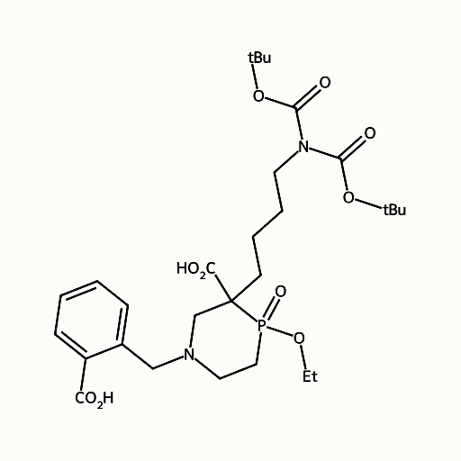 CCOP1(=O)CCN(Cc2ccccc2C(=O)O)CC1(CCCCN(C(=O)OC(C)(C)C)C(=O)OC(C)(C)C)C(=O)O